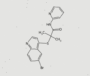 CC(C)(Sc1ccnc2ccc(Br)cc12)C(=O)Nc1ccccn1